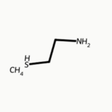 C.NCCS